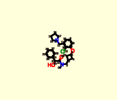 CN(CC1CC(Oc2cccc(CN3CCCC3)c2Cl)C1)C(=O)C(O)c1ccccc1